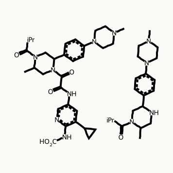 CC(C)C(=O)N1CC(c2ccc(N3CCN(C)CC3)cc2)N(C(=O)C(=O)Nc2cnc(NC(=O)O)c(C3CC3)c2)CC1C.CC(C)C(=O)N1CC(c2ccc(N3CCN(C)CC3)cc2)NCC1C